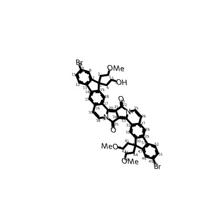 COCCC1(CCO)c2cc(Br)ccc2-c2cc3c(cc21)C1=C2C(=O)N4C=Cc5cc6c(cc5C4=C2C(=O)N1C=C3)C(CCOC)(CCOC)c1cc(Br)ccc1-6